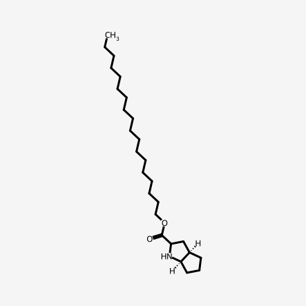 CCCCCCCCCCCCCCCCCCOC(=O)C1C[C@H]2CCC[C@H]2N1